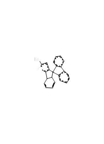 Brc1cc2c(o1)C1C=CC=CC1C21c2ccccc2-c2ccccc21